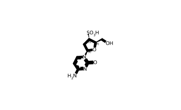 Nc1ccn([C@H]2C[C@H](S(=O)(=O)O)[C@@H](CO)O2)c(=O)n1